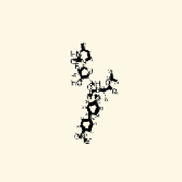 C=C1C=CN([C@@H]2O[C@H](COP(=O)(N[C@@H](C)C(=O)OC(C)C)Oc3ccc(-c4ccc([N+](=O)[O-])cc4)cc3)[C@@H](O)[C@@]2(C)F)C(=O)N1